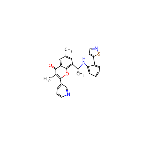 Cc1cc([C@@H](C)Nc2ccccc2-c2ccns2)c2oc(-c3cccnc3)c(C)c(=O)c2c1